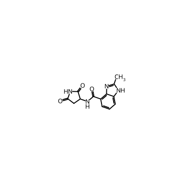 Cc1nc2c(C(=O)NC3CC(=O)NC3=O)cccc2[nH]1